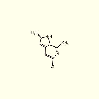 CC1=NC(Cl)=CC2=CN(C)NN21